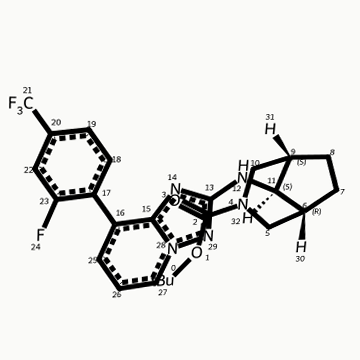 CC(C)(C)OC(=O)N1C[C@H]2CC[C@@H](C1)[C@@H]2Nc1nc2c(-c3ccc(C(F)(F)F)cc3F)cccn2n1